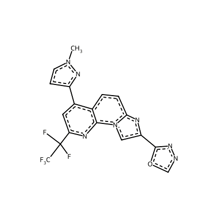 Cn1ccc(-c2cc(C(F)(F)C(F)(F)F)nc3c2ccc2nc(-c4nnco4)cn23)n1